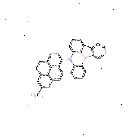 Cc1cc2ccc3ccc(N4c5ccccc5B5c6ccccc6-c6cccc4c65)c4ccc(c1)c2c34